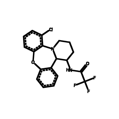 O=C(NC1CCCN2c3c(Cl)cccc3Oc3ccccc3C12)C(F)(F)F